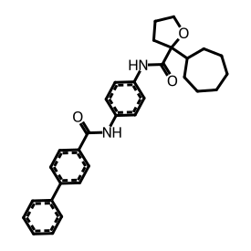 O=C(Nc1ccc(NC(=O)C2(C3CCCCCC3)CCCO2)cc1)c1ccc(-c2ccccc2)cc1